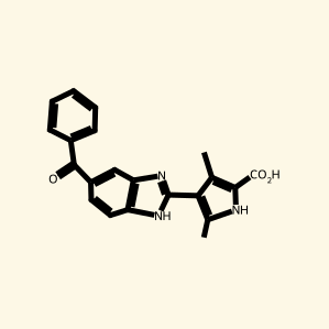 Cc1[nH]c(C(=O)O)c(C)c1-c1nc2cc(C(=O)c3ccccc3)ccc2[nH]1